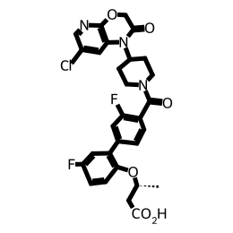 C[C@H](CC(=O)O)Oc1ccc(F)cc1-c1ccc(C(=O)N2CCC(N3C(=O)COc4ncc(Cl)cc43)CC2)c(F)c1